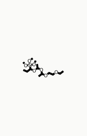 CCOCCOC(C)OC(C)OC(CC)[Si](OC)(OC)OC